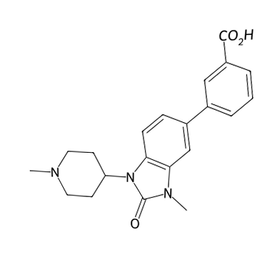 CN1CCC(n2c(=O)n(C)c3cc(-c4cccc(C(=O)O)c4)ccc32)CC1